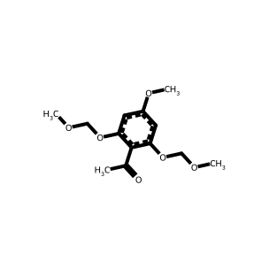 COCOc1cc(OC)cc(OCOC)c1C(C)=O